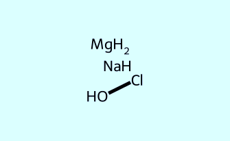 OCl.[MgH2].[NaH]